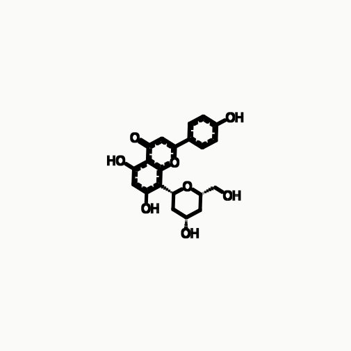 O=c1cc(-c2ccc(O)cc2)oc2c([C@H]3C[C@@H](O)C[C@@H](CO)O3)c(O)cc(O)c12